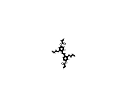 C=CC(=O)Oc1ccc(/C=C/c2ccc(OC(=O)C=C)cc2CCCC)c(CCCC)c1